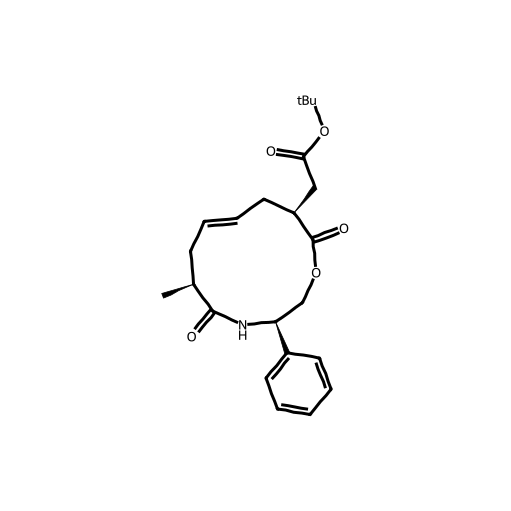 C[C@H]1C/C=C/C[C@@H](CC(=O)OC(C)(C)C)C(=O)OC[C@@H](c2ccccc2)NC1=O